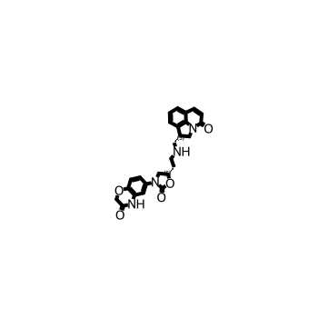 O=C1COc2ccc(N3C[C@H](CCNC[C@H]4Cn5c(=O)ccc6cccc4c65)OC3=O)cc2N1